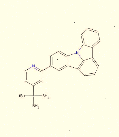 BC(B)(c1ccnc(-c2ccc3c(c2)c2cccc4c5ccccc5n3c42)c1)C(C)(C)C